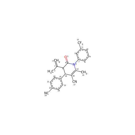 C=C(C)C1C(=O)N(c2cccc(C(F)(F)F)c2)C(C)=C(C#N)C1c1ccc(C#N)cc1